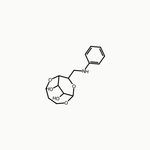 OC1C2OCCCOC(C(CNc3ccccc3)O2)C1O